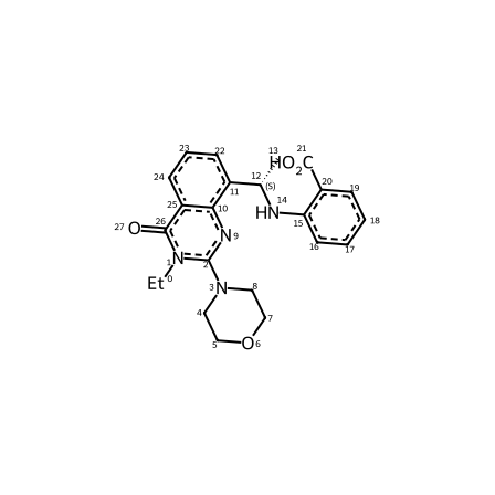 CCn1c(N2CCOCC2)nc2c([C@H](C)Nc3ccccc3C(=O)O)cccc2c1=O